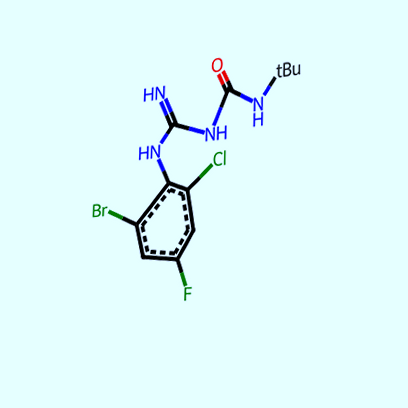 CC(C)(C)NC(=O)NC(=N)Nc1c(Cl)cc(F)cc1Br